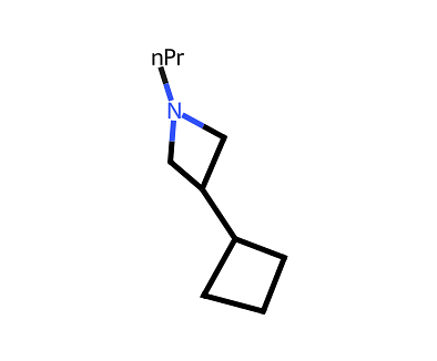 CCCN1CC(C2CCC2)C1